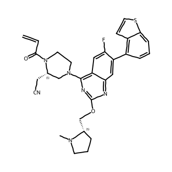 C=CC(=O)N1CCN(c2nc(OC[C@@H]3CCCN3C)nc3cc(-c4cccc5sccc45)c(F)cc23)C[C@@H]1CC#N